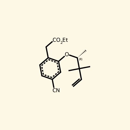 C=CC(C)(C)[C@@H](C)Oc1cc(C#N)ccc1CC(=O)OCC